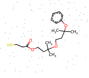 CC(C)(CCOC(=O)CCS)OCCC(C)(C)Oc1ccccc1